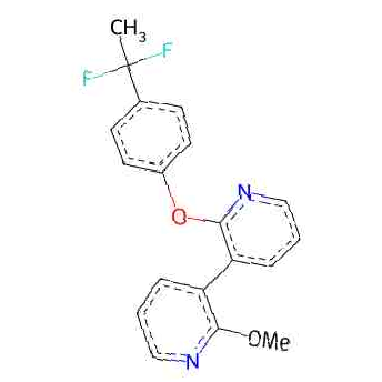 COc1ncccc1-c1cccnc1Oc1ccc(C(C)(F)F)cc1